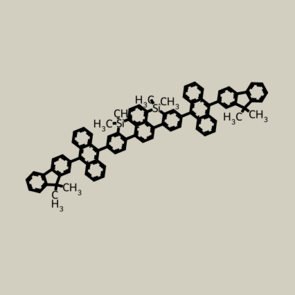 CC1(C)c2ccccc2-c2ccc(-c3c4ccccc4c(-c4ccc5c(c4)[Si](C)(C)c4ccc6c7c(ccc-5c47)-c4ccc(-c5c7ccccc7c(-c7ccc8c(c7)C(C)(C)c7ccccc7-8)c7ccccc57)cc4[Si]6(C)C)c4ccccc34)cc21